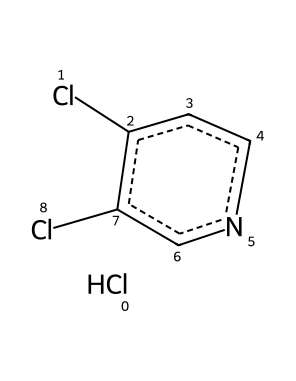 Cl.Clc1ccncc1Cl